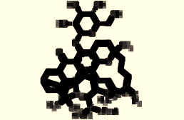 CCCCCN(CCCCC)C(=O)/C(C)=C\CC12OC(C)(C)C3CC(C=C4C(=O)c5c(O[C@@H]6O[C@H](CO)[C@@H](O)[C@H](O)[C@H]6O)c6c(c(CC=C(C)C)c5OC431)OC(C)(CCC=C(C)C)C=C6)C2=O